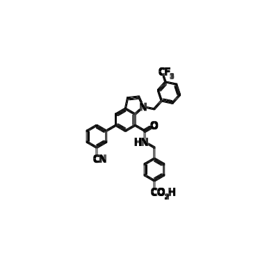 N#Cc1cccc(-c2cc(C(=O)NCc3ccc(C(=O)O)cc3)c3c(ccn3Cc3cccc(C(F)(F)F)c3)c2)c1